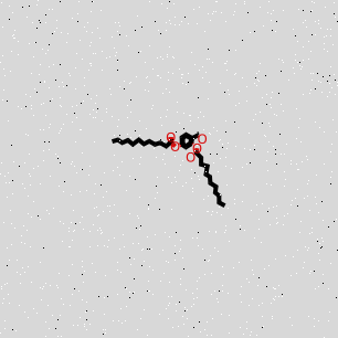 CCCCCCCCCCCC(=O)Oc1ccc([C]=O)c(OC(=O)CCCCCCCCCCC)c1